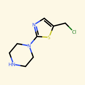 ClCc1cnc(N2CCNCC2)s1